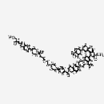 COc1ccc(-c2ccc3ncc4c(c3c2)n(-c2ccc(N3CCN(c5ncc6c(n5)CCN(C(=O)c5cnc(N7CCN(CCOCCC(=O)N8CCN(c9ncc(CNC(=O)CO)cn9)CC8)CC7)nc5)C6)CC3)c(C(F)(F)F)c2)c(=O)n4C)cn1